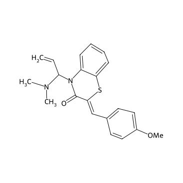 C=CC(N(C)C)N1C(=O)C(=Cc2ccc(OC)cc2)Sc2ccccc21